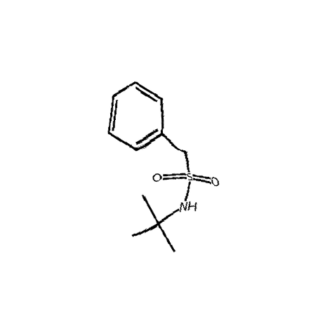 CC(C)(C)NS(=O)(=O)Cc1ccccc1